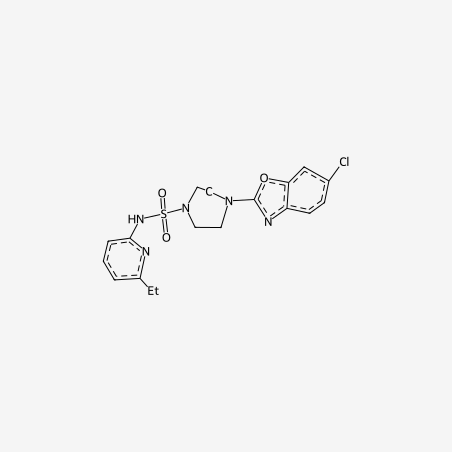 CCc1cccc(NS(=O)(=O)N2CCN(c3nc4ccc(Cl)cc4o3)CC2)n1